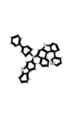 C1=CNCC(c2cccc3oc4cc(N(c5ccc(-c6ccccc6)cc5)c5ccc6c(c5)oc5ccccc56)c5ccccc5c4c23)=C1